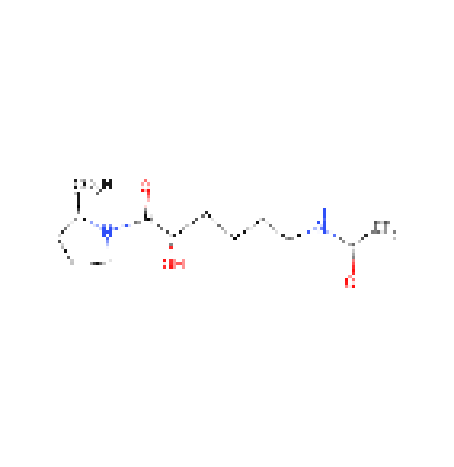 O=C(O)[C@@H]1CCCN1C(=O)C(O)CCCCNC(=O)C(F)(F)F